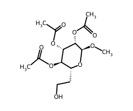 CO[C@H]1O[C@H](CCO)[C@@H](OC(C)=O)[C@H](OC(C)=O)[C@@H]1OC(C)=O